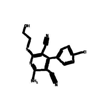 N#Cc1c(N)nc(SCCO)c(C#N)c1-c1ccc(Cl)cc1